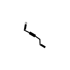 C=CCC#CC=O